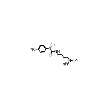 CCCN(CCC)CCCCNC(=O)N(S)c1ccc(C#N)cc1